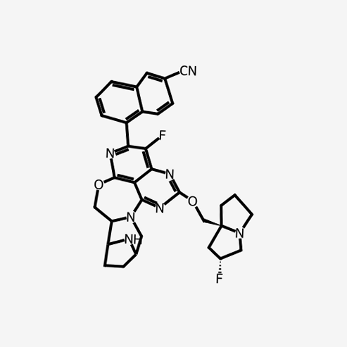 N#Cc1ccc2c(-c3nc4c5c(nc(OC[C@@]67CCCN6C[C@H](F)C7)nc5c3F)N3CC5CCC(N5)C3CO4)cccc2c1